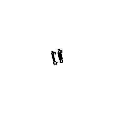 [Cr][Zn].[O]=[Zn]